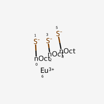 CCCCCCCC[S-].CCCCCCCC[S-].CCCCCCCC[S-].[Eu+3]